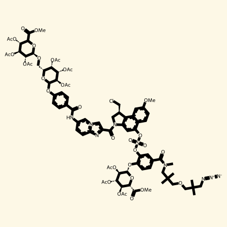 COC(=O)C1O[C@@H](OC[C@H]2OC(Oc3ccc(C(=O)Nc4ccc5nc(C(=O)N6C[C@@H](CCl)c7c6cc(OS(=O)(=O)Oc6cc(C(=O)N(C)CC(C)(C)COCC(C)(C)CN=[N+]=[N-])ccc6O[C@@H]6O[C@H](C(=O)OC)[C@@H](OC(C)=O)[C@H](OC(C)=O)[C@H]6OC(C)=O)c6ccc(OC)cc76)cn5c4)cc3)[C@H](OC(C)=O)[C@@H](OC(C)=O)[C@H]2OC(C)=O)[C@H](OC(C)=O)[C@@H](OC(C)=O)[C@@H]1OC(C)=O